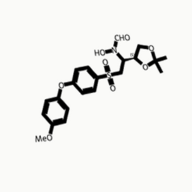 COc1ccc(Oc2ccc(S(=O)(=O)CC([C@H]3COC(C)(C)O3)N(O)C=O)cc2)cc1